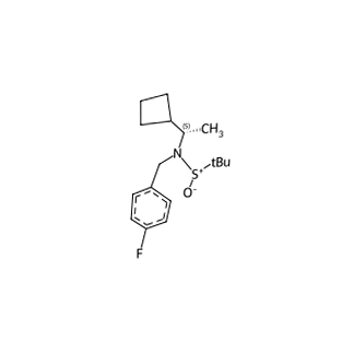 C[C@@H](C1CCC1)N(Cc1ccc(F)cc1)[S+]([O-])C(C)(C)C